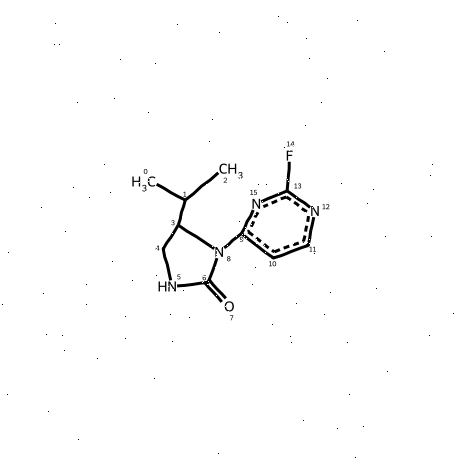 CC(C)C1CNC(=O)N1c1ccnc(F)n1